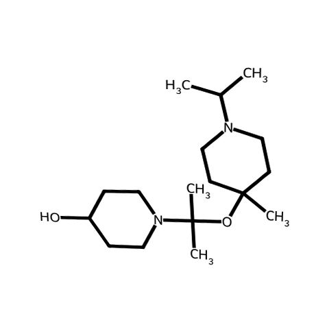 CC(C)N1CCC(C)(OC(C)(C)N2CCC(O)CC2)CC1